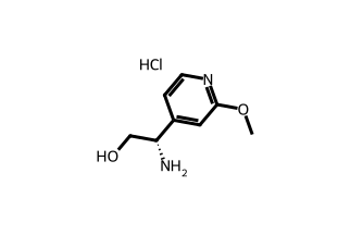 COc1cc([C@H](N)CO)ccn1.Cl